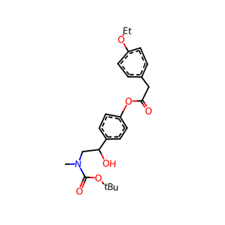 CCOc1ccc(CC(=O)Oc2ccc(C(O)CN(C)C(=O)OC(C)(C)C)cc2)cc1